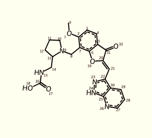 COc1ccc2c(c1CN1CCCC1CNC(=O)O)OC(=Cc1n[nH]c3ncccc13)C2=O